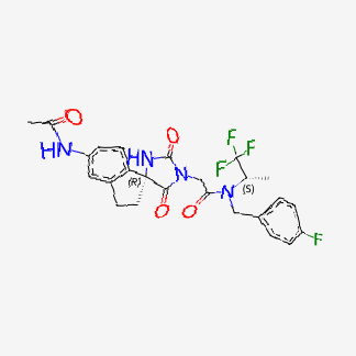 CC(=O)Nc1ccc2c(c1)CC[C@@]21NC(=O)N(CC(=O)N(Cc2ccc(F)cc2)[C@@H](C)C(F)(F)F)C1=O